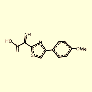 COc1ccc(-c2csc(C(=N)NO)n2)cc1